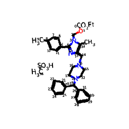 CCOC(=O)OCn1c(-c2ccc(C)cc2)nc(CN2CCN(C(c3ccccc3)c3ccccc3)CC2)c1C.CS(=O)(=O)O